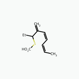 C=C(/C=C\C=C/C)C(CC)SC(=O)O